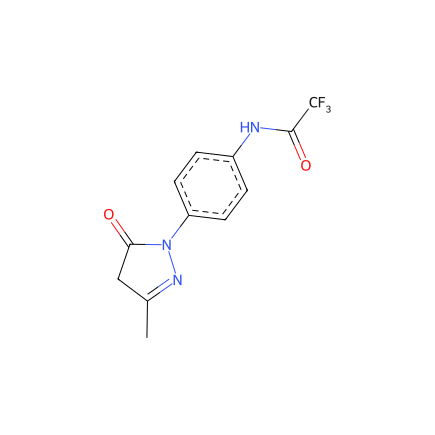 CC1=NN(c2ccc(NC(=O)C(F)(F)F)cc2)C(=O)C1